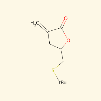 C=C1CC(CSC(C)(C)C)OC1=O